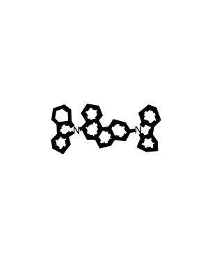 C1=Cc2c(c3ccccc3n2-c2cc3ccc4cc(-n5c6ccccc6c6ccccc65)ccc4c3c3ccccc23)CC1